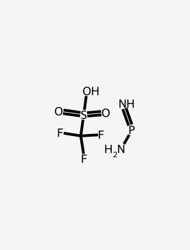 N=PN.O=S(=O)(O)C(F)(F)F